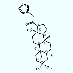 C[C@@]1(O)CC[C@@]2(CO)[C@@H](CC[C@H]3[C@@H]4CC[C@H](C(=O)Cn5cccc5)[C@@]4(C)CC[C@@H]32)C1